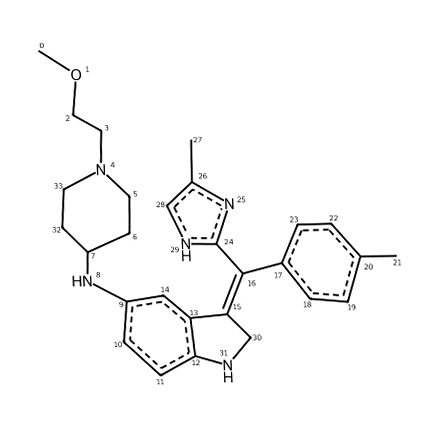 COCCN1CCC(Nc2ccc3c(c2)C(=C(c2ccc(C)cc2)c2nc(C)c[nH]2)CN3)CC1